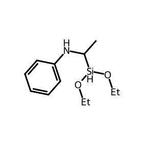 CCO[SiH](OCC)C(C)Nc1ccccc1